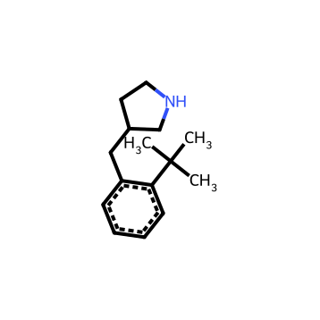 CC(C)(C)c1ccccc1CC1CCNC1